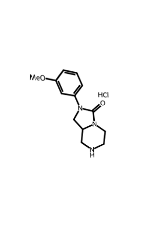 COc1cccc(N2CC3CNCCN3C2=O)c1.Cl